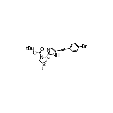 C[C@H]1C[C@@H](c2ncc(C#Cc3ccc(Br)cc3)[nH]2)N(C(=O)OC(C)(C)C)C1